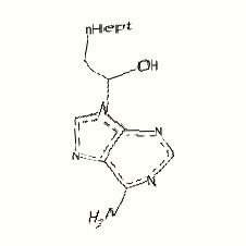 CCCCCCCCC(O)n1cnc2c(N)ncnc21